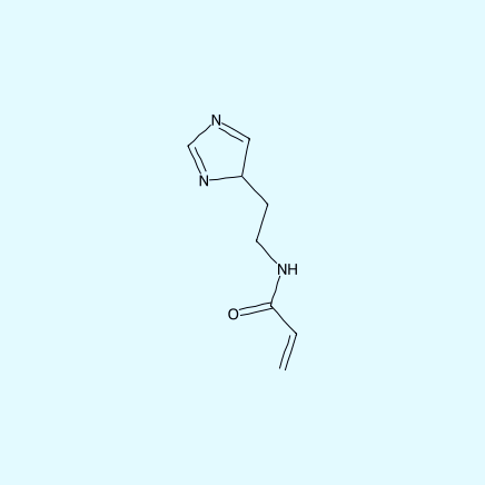 C=CC(=O)NCCC1C=NC=N1